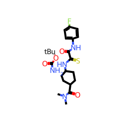 CC(C)(C)OC(N)=O.CN(C)C(=O)C1CCC(NC(=S)C(=O)Nc2ccc(F)cc2)CC1